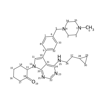 CN1CCN(Cc2ccc(-c3cn(C4CCCCC4=O)c4ncnc(NCCC5CC5)c34)cc2)CC1